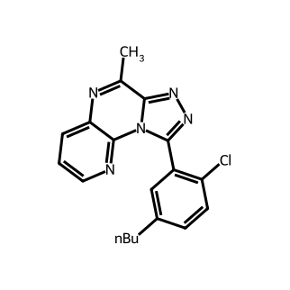 CCCCc1ccc(Cl)c(-c2nnc3c(C)nc4cccnc4n23)c1